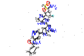 CS(=O)(=O)C(N)c1cc(F)cc(-c2nccc3[nH]c(-c4n[nH]c5cnc(-c6cncc(NC(=O)c7ccccc7)c6)cc45)nc23)c1